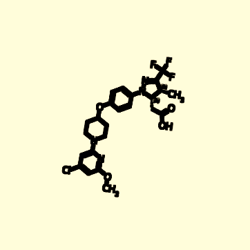 COc1cc(Cl)cc(N2CCC(Oc3ccc(N4N=C(C(F)(F)F)[C@@H](C)[C@@H]4CC(=O)O)cc3)CC2)n1